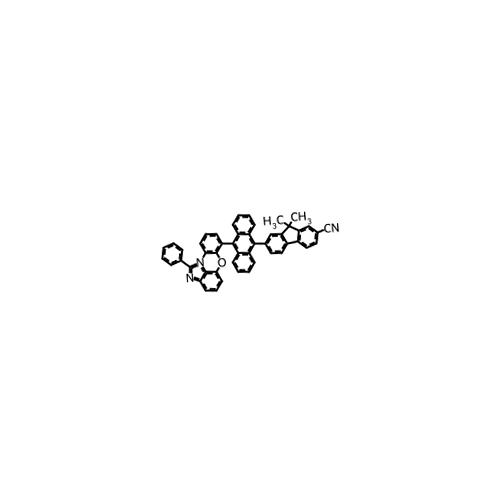 CC1(C)c2cc(C#N)ccc2-c2ccc(-c3c4ccccc4c(-c4cccc5c4Oc4cccc6nc(-c7ccccc7)n-5c46)c4ccccc34)cc21